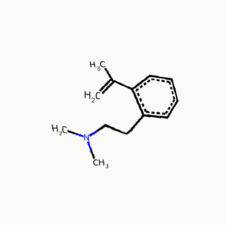 C=C(C)c1ccccc1CCN(C)C